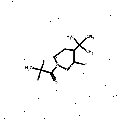 CC(F)(F)C(=O)N1CCC(C(C)(C)C)C(F)C1